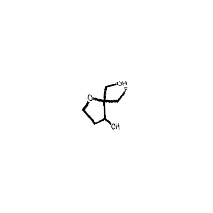 OCC1(CF)OCCC1O